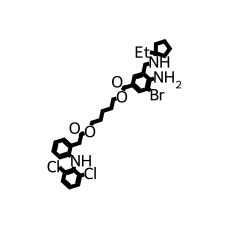 CCC1(NCc2cc(C(=O)OCCCCCOC(=O)Cc3ccccc3Nc3c(Cl)cccc3Cl)cc(Br)c2N)CCCC1